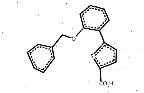 O=C(O)c1ccc(-c2ccccc2OCc2ccccc2)s1